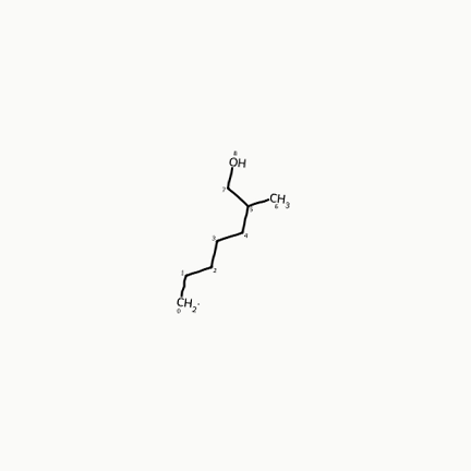 [CH2]CCCCC(C)CO